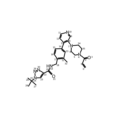 C=CC(=O)N1CCN(c2cnccc2-c2ccc(CNC(=O)c3cn(C(C)(C)C)nn3)c(C)c2)CC1